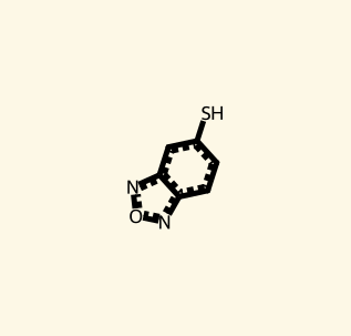 Sc1ccc2nonc2c1